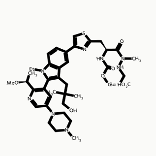 CCn1c(-c2cc(N3CCN(C)CC3)cnc2[C@H](C)OC)c(CC(C)(C)CO)c2cc(-c3csc(C[C@H](NC(=O)OC(C)(C)C)C(=O)N(C)NCC(=O)O)n3)ccc21